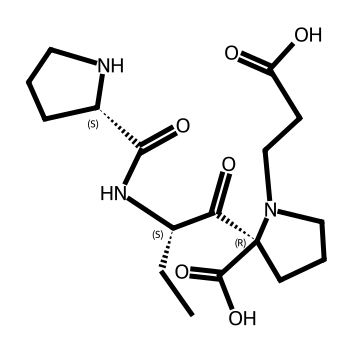 CC[C@H](NC(=O)[C@@H]1CCCN1)C(=O)[C@@]1(C(=O)O)CCCN1CCC(=O)O